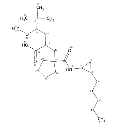 CCCCCC1CC1NC(=O)C1(CC(CC(OC)C(C)(C)C)C(=O)O)CCCC1